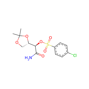 CC1(C)OC[C@@H]([C@@H](OS(=O)(=O)c2ccc(Cl)cc2)C(N)=O)O1